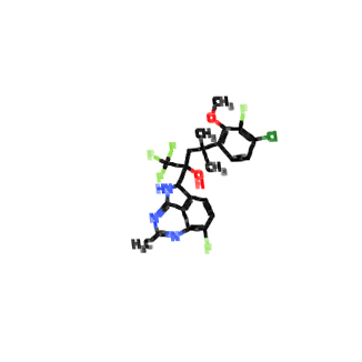 COc1c(C(C)(C)CC(O)(C2Nc3nc(C)nc4c(F)ccc2c34)C(F)(F)F)ccc(Cl)c1F